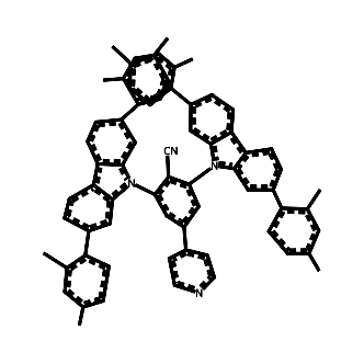 Cc1ccc(-c2ccc3c4ccc(-c5ccc(C)cc5C)cc4n(-c4cc(-c5ccncc5)cc(-n5c6cc(-c7ccc(C)cc7C)ccc6c6ccc(-c7ccc(C)cc7C)cc65)c4C#N)c3c2)c(C)c1